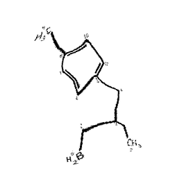 BCC(C)Cc1ccc(C)cc1